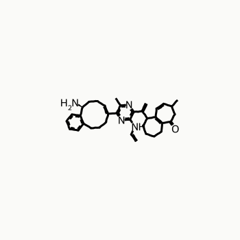 C=CNc1nc(/C2=C/CC[C@H](N)c3ccccc3CCC2)c(C)nc1C(=C)C1CCCCC2=C1C=CC(C)CC2=O